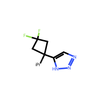 CC(C)C1(c2cnn[nH]2)CC(F)(F)C1